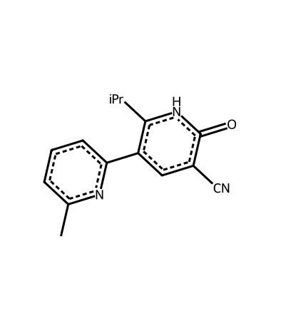 Cc1cccc(-c2cc(C#N)c(=O)[nH]c2C(C)C)n1